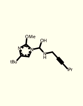 COc1nc(C(C)(C)C)cn1C(O)NCC#CC(C)C